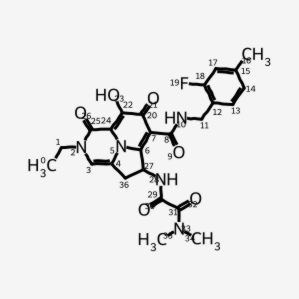 CCn1cc2n3c(c(C(=O)NCc4ccc(C)cc4F)c(=O)c(O)c3c1=O)C(NC(=O)C(=O)N(C)C)C2